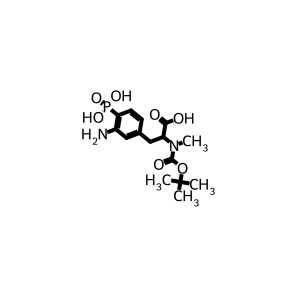 CN(C(=O)OC(C)(C)C)C(Cc1ccc(P(=O)(O)O)c(N)c1)C(=O)O